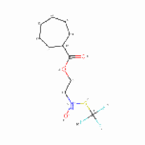 O=C(OCC[NH+]([O-])SC(F)(F)F)C1CCCCCC1